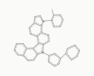 Cc1ccccc1-n1ccc2ccc3c(ccc4c3c3c5ccccc5ccc3n4-c3cccc(-c4ccccc4)c3)c21